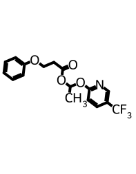 CC(OC(=O)CCOc1ccccc1)Oc1ccc(C(F)(F)F)cn1